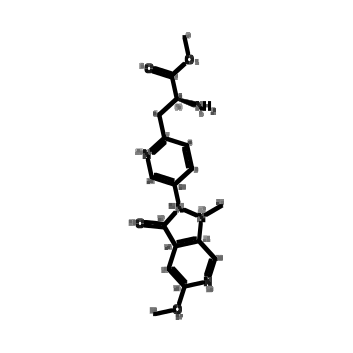 COC(=O)[C@@H](N)Cc1ccc(-n2c(=O)c3cc(OC)ncc3n2C)cn1